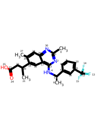 Cc1nc(N[C@H](C)c2cccc(C(F)(F)F)c2)c2cc(C(C)CC(=O)O)c(C)cc2n1